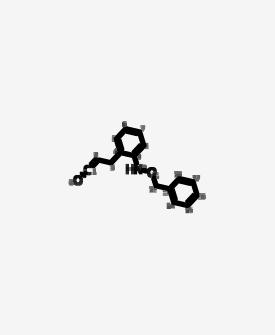 O=C=CCc1ccccc1NOCc1ccccc1